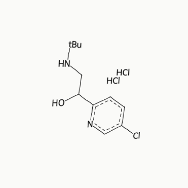 CC(C)(C)NCC(O)c1ccc(Cl)cn1.Cl.Cl